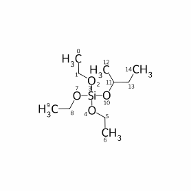 CCO[Si](OCC)(OCC)OC(C)CC